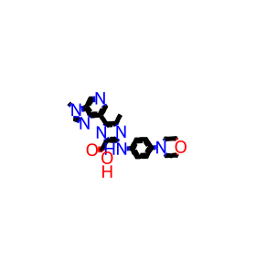 Cc1nc(Nc2ccc(N3CCOCC3)cc2)c(C(=O)O)nc1-c1cncc2c1ncn2C